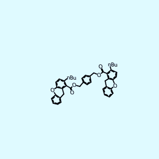 CCCCc1ccc2c(c1C(=O)OCc1ccc(COC(=O)c3c(CCCC)ccc4c3Cc3ccccc3O4)cc1)Cc1ccccc1O2